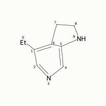 CCc1cncc2c1CCN2